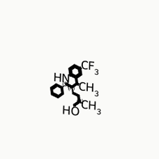 CC1c2cc(C(F)(F)F)ccc2N[C@@H](C2C=CC=CC2)[C@@H]1CC[C@@H](C)CO